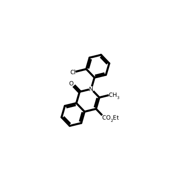 CCOC(=O)c1c(C)n(-c2ccccc2Cl)c(=O)c2ccccc12